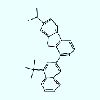 CC(C)c1ccc2c(c1)oc1c(-c3cc(C(C)(C)C)c4ccccc4c3)nccc12